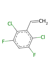 C=Cc1c(Cl)c(F)cc(F)c1Cl